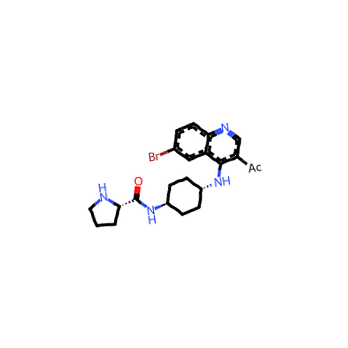 CC(=O)c1cnc2ccc(Br)cc2c1N[C@H]1CC[C@H](NC(=O)[C@@H]2CCCN2)CC1